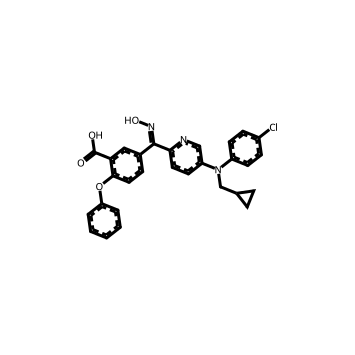 O=C(O)c1cc(/C(=N\O)c2ccc(N(CC3CC3)c3ccc(Cl)cc3)cn2)ccc1Oc1ccccc1